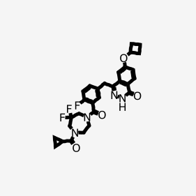 O=C(c1cc(Cc2n[nH]c(=O)c3ccc(OC4CCC4)cc23)ccc1F)N1CCN(C(=O)C2CC2)CC(F)(F)C1